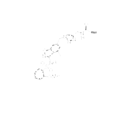 C#CC(=O)NCc1cn(Cc2cc(C)c3c(NS(=O)(=O)c4ccccc4OC)noc3c2)nn1